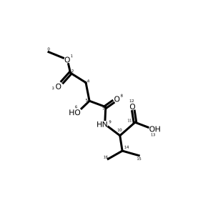 COC(=O)CC(O)C(=O)NC(C(=O)O)C(C)C